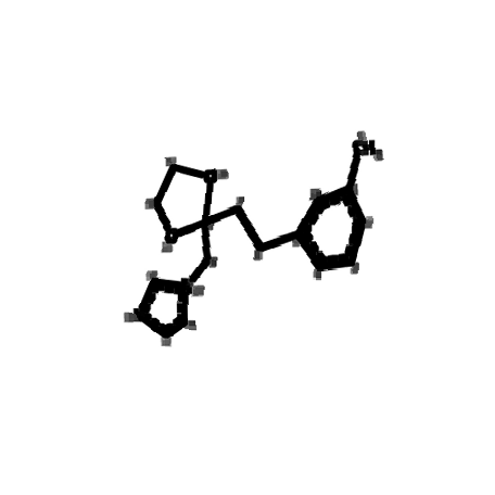 Cc1cccc(CCC2(Cn3ccnc3)OCCO2)c1